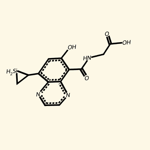 O=C(O)CNC(=O)c1c(O)cc(C2C[SiH2]2)c2nccnc12